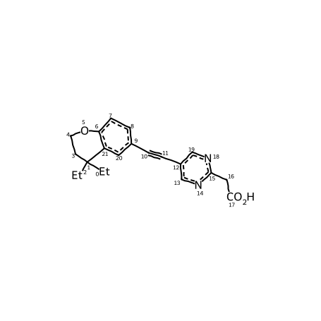 CCC1(CC)CCOc2ccc(C#Cc3cnc(CC(=O)O)nc3)cc21